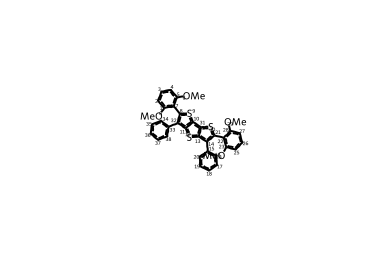 COc1cccc(OC)c1-c1sc2c(sc3c(-c4ccccc4)c(-c4c(OC)cccc4OC)sc32)c1-c1ccccc1